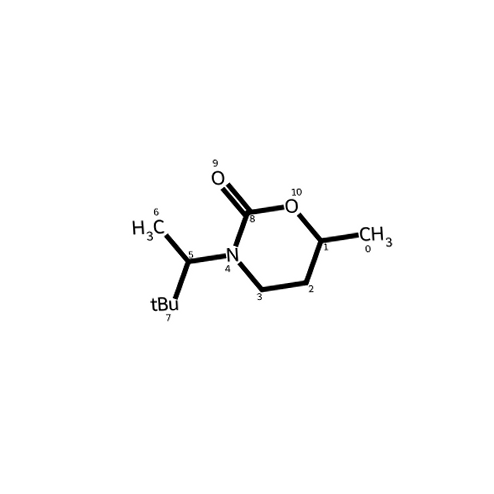 CC1CCN(C(C)C(C)(C)C)C(=O)O1